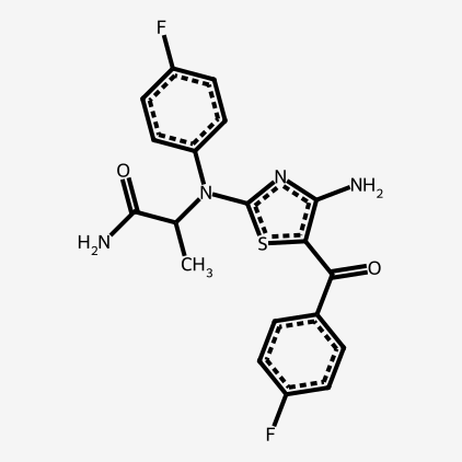 CC(C(N)=O)N(c1ccc(F)cc1)c1nc(N)c(C(=O)c2ccc(F)cc2)s1